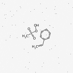 C=Cc1ccccc1.CS(=O)(=O)OO